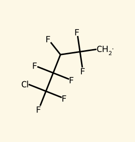 [CH2]C(F)(F)C(F)C(F)(F)C(F)(F)Cl